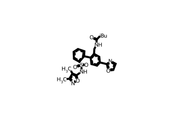 CCC(C)C(=O)NCc1cc(-c2ncco2)ccc1-c1ccccc1S(=O)(=O)Nc1onc(C)c1C